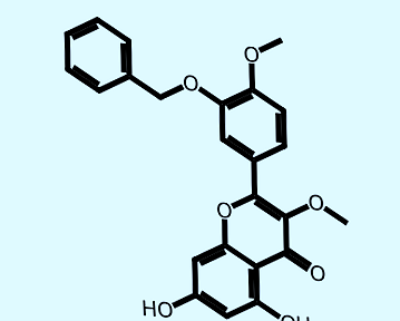 COc1ccc(-c2oc3cc(O)cc(O)c3c(=O)c2OC)cc1OCc1ccccc1